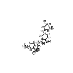 CNc1ccc(C(=O)Nc2n[nH]c3ccc(Cc4cc(F)cc(F)c4)cc23)c([N+](=O)[O-])c1